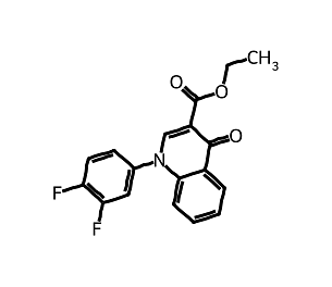 CCOC(=O)c1cn(-c2ccc(F)c(F)c2)c2ccccc2c1=O